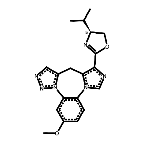 COc1ccc2c(c1)-n1nncc1Cc1c(C3=N[C@@H](C(C)C)CO3)ncn1-2